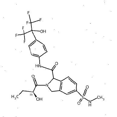 CC[C@H](O)C(=O)N1Cc2cc(S(=O)(=O)NC)ccc2C1C(=O)Nc1ccc(C(O)(C(F)(F)F)C(F)(F)F)cc1